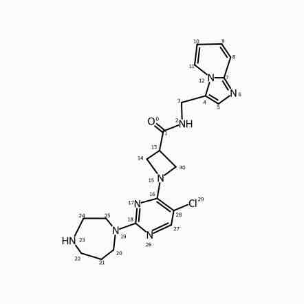 O=C(NCc1cnc2ccccn12)C1CN(c2nc(N3CCCNCC3)ncc2Cl)C1